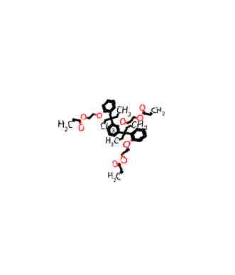 C=CC(=O)OCCOc1ccccc1C(CC)(CC)c1cccc(C(CC)(CC)c2ccccc2OCCOC(=O)C=C)c1OCCOC(=O)C=C